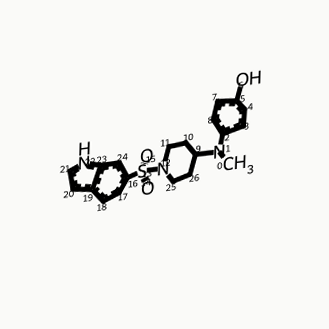 CN(c1ccc(O)cc1)C1CCN(S(=O)(=O)c2ccc3cc[nH]c3c2)CC1